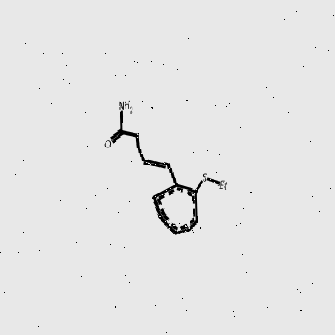 CCSc1ccccc1C=CCC(N)=O